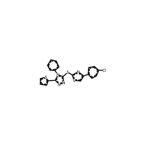 Clc1ccc(-c2csc(Sc3nnc(-c4cccs4)n3-c3ccccc3)n2)cc1